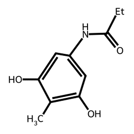 CCC(=O)Nc1cc(O)c(C)c(O)c1